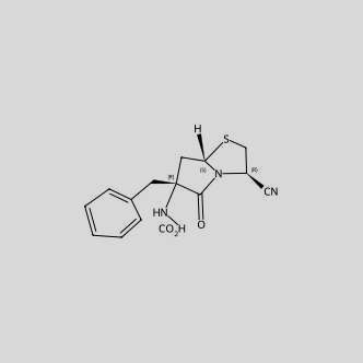 N#C[C@@H]1CS[C@H]2C[C@@](Cc3ccccc3)(NC(=O)O)C(=O)N12